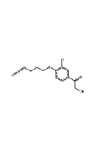 CCc1cc(C(=O)CO)ccc1OCCCN=[N+]=[N-]